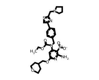 CCOC(=O)N(Cc1ccc(-c2csc(CN3CCCC3)n2)cc1)c1cc(OCC2CCOCC2)nc(N)c1[N+](=O)[O-]